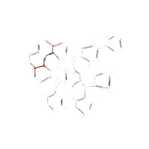 c1ccc(-c2ccc(N3c4cccc(-c5ccccc5)c4B4c5c(-c6ccccc6)cccc5N(c5ccccc5)c5cc(N(c6ccccc6)c6ccccc6)cc3c54)cc2)cc1